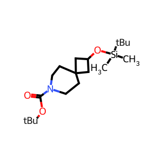 CC(C)(C)OC(=O)N1CCC2(CC1)CC(O[Si](C)(C)C(C)(C)C)C2